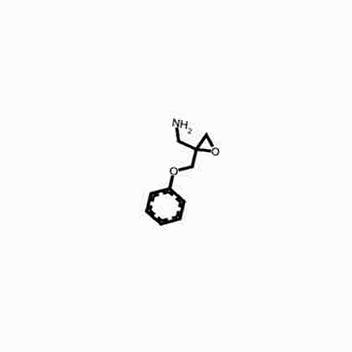 NCC1(COc2ccccc2)CO1